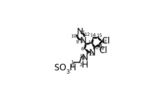 O=S(=O)(O)CCCNc1cc(-n2ccnc2)c2ccc(Cl)c(Cl)c2n1